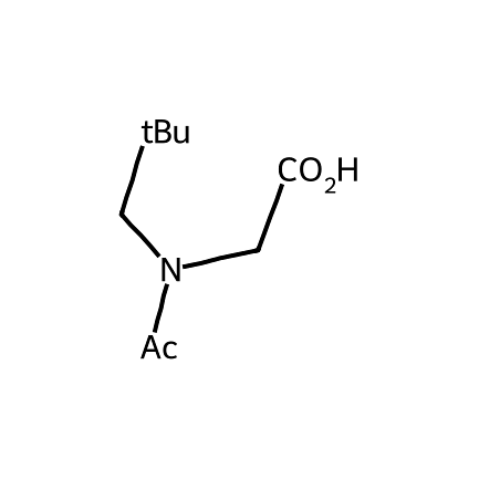 CC(=O)N(CC(=O)O)CC(C)(C)C